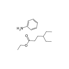 CCOC(=O)CCC(CC)CC.Nc1ccccc1